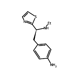 CCN[C@@H](Cc1ccc(N)cc1)c1nccs1